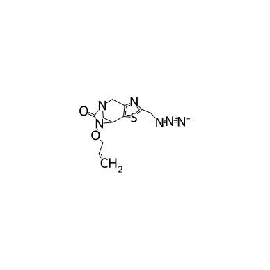 C=CCON1C(=O)N2Cc3nc(CN=[N+]=[N-])sc3C1C2